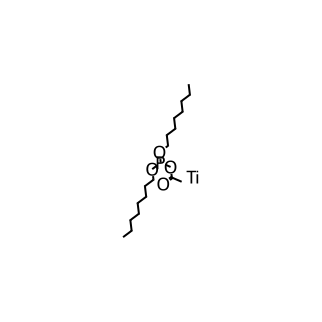 CCCCCCCCOP(OCCCCCCCC)OC(C)=O.[Ti]